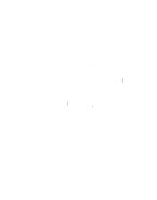 OP(Oc1ccccc1F)Oc1ccccc1F